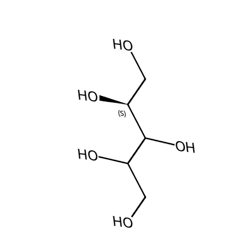 OCC(O)C(O)[C@@H](O)CO